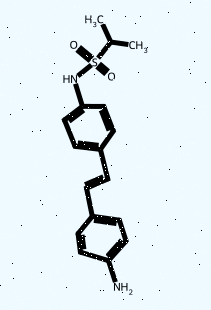 CC(C)S(=O)(=O)Nc1ccc(C=Cc2ccc(N)cc2)cc1